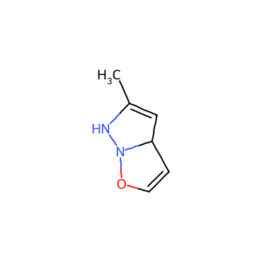 CC1=CC2C=CON2N1